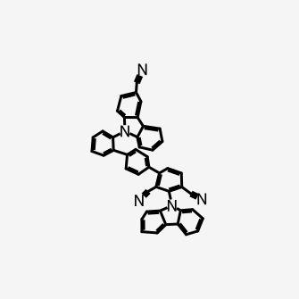 N#Cc1ccc2c(c1)c1ccccc1n2-c1ccccc1-c1ccc(-c2ccc(C#N)c(-n3c4ccccc4c4ccccc43)c2C#N)cc1